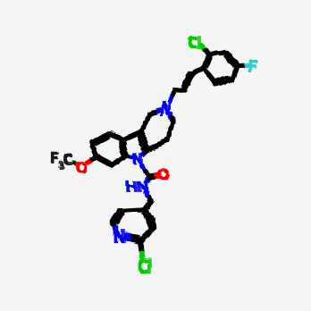 O=C(NCc1ccnc(Cl)c1)n1c2c(c3ccc(OC(F)(F)F)cc31)CN(CC=Cc1ccc(F)cc1Cl)CC2